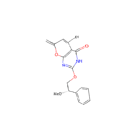 C=C1C=C(CC)c2c(nc(OC[C@@H](OC)c3ccccc3)[nH]c2=O)O1